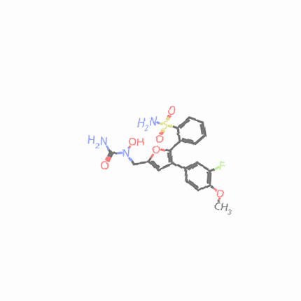 COc1ccc(-c2cc(CN(O)C(N)=O)oc2-c2ccccc2S(N)(=O)=O)cc1F